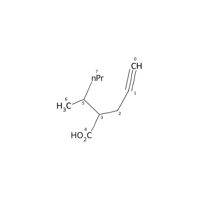 C#CCC(C(=O)O)C(C)CCC